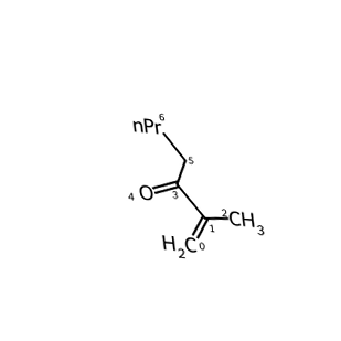 C=C(C)C(=O)CCCC